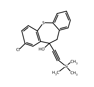 C[Si](C)(C)C#CC1(O)Cc2ccccc2Sc2ccc(Cl)cc21